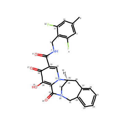 Cc1cc(F)c(CNC(=O)c2cn3c(c(O)c2=O)C(=O)N2Cc4ccccc4C[C@H]3C2)c(F)c1